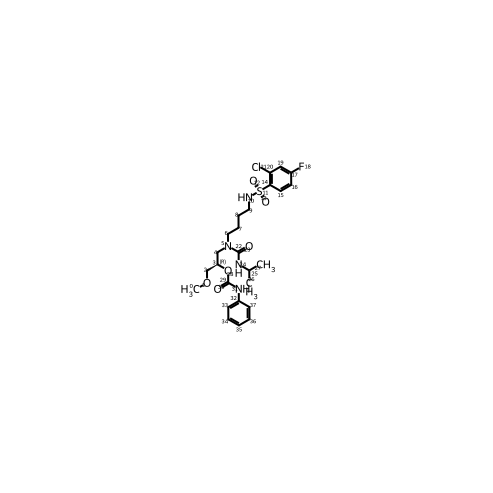 COC[C@@H](CN(CCCCNS(=O)(=O)c1ccc(F)cc1Cl)C(=O)NC(C)C)OC(=O)Nc1ccccc1